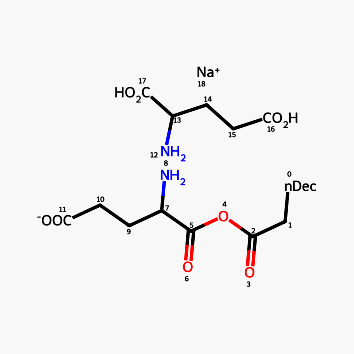 CCCCCCCCCCCC(=O)OC(=O)C(N)CCC(=O)[O-].NC(CCC(=O)O)C(=O)O.[Na+]